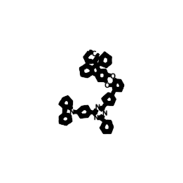 c1ccc(-c2nc(-c3ccc(-c4cccc5c4Oc4cc6c(cc4O5)C(c4ccccc4)(c4ccccc4)c4ccccc4-6)cc3)nc(-c3ccc(-n4c5ccccc5c5ccccc54)cc3)n2)cc1